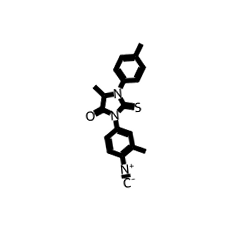 [C-]#[N+]c1ccc(N2C(=O)C(C)N(c3ccc(C)cc3)C2=S)cc1C